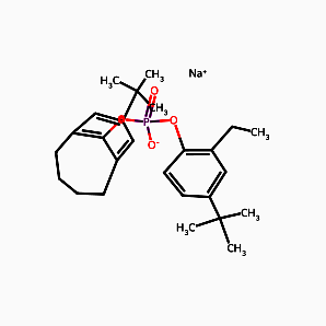 CCc1cc(C(C)(C)C)ccc1OP(=O)([O-])Oc1c2cc(C(C)(C)C)cc1CCCC2.[Na+]